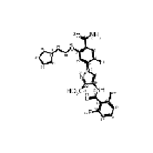 NC(=O)c1cc(F)c(-n2cc(NC(=O)c3c(F)cccc3F)c(C(=O)O)n2)cc1OCCN1CCCC1